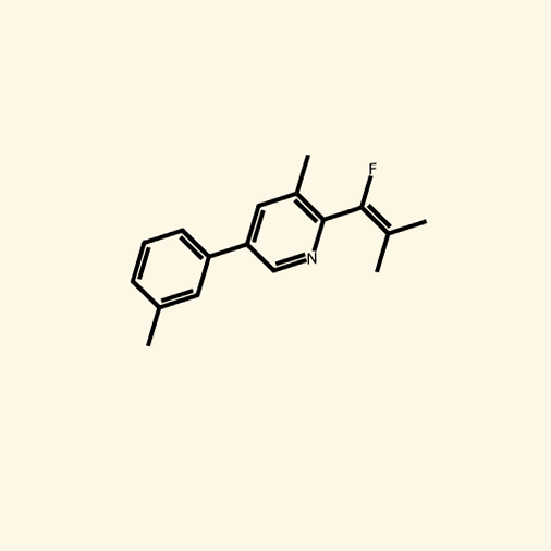 CC(C)=C(F)c1ncc(-c2cccc(C)c2)cc1C